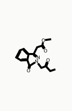 CCC(=O)Cn1nc(CC(=O)OC)c2ccccc2c1=O